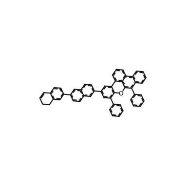 C1=Cc2ccc(-c3ccc4cc(-c5cc(-c6ccccc6)c6c(c5)-c5cccc7c5c(c(-c5ccccc5)c5ccccc57)O6)ccc4c3)cc2CC1